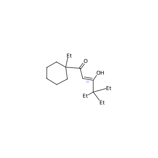 CCC1(C(=O)/C=C(\O)C(CC)(CC)CC)CCCCC1